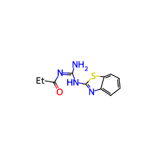 CCC(=O)/N=C(/N)Nc1nc2ccccc2s1